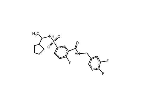 CC(NS(=O)(=O)c1ccc(F)c(C(=O)NCc2ccc(F)c(F)c2)c1)C1CCCC1